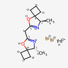 C[C@H]1N=C(CC2=N[C@H](C)C3(CCC3)O2)OC12CCC2.[Br-].[Br-].[Pd+2]